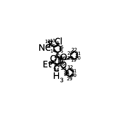 CC[C@H]1O[C@@H](c2ccc(Cl)c(C3(C#N)CC3)c2)[C@H](OCc2ccccc2)[C@@H](OCc2ccccc2)[C@@H]1C